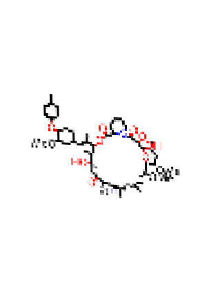 CCC1/C=C(\C)CC(C)CC(OC)C2OC(O)(C(=O)C(=O)N3CCCCC3C(=O)OC(C(C)=CC3CCC(Oc4ccc(C)cc4)C(OC)C3)C(C)C(O)CC1=O)C(C)CC2OC